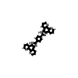 c1cnc2c(c1)c1nc(-c3ccc(-c4nc5c6cccnc6c6ncccc6c5[nH]4)cc3)[nH]c1c1cccnc12